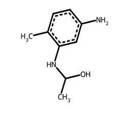 Cc1ccc(N)cc1NC(C)O